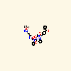 CC(NC(=O)Cc1ccc(C(=O)c2ccccc2)cc1)C(=O)N[C@@H]1C(=O)N(CC(=O)NCCCCCNC(=O)OC(C)(C)C)c2ccccc2O[C@@H]1c1ccccc1